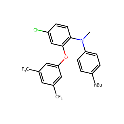 CCCCc1ccc(N(C)c2ccc(Cl)cc2Oc2cc(C(F)(F)F)cc(C(F)(F)F)c2)cc1